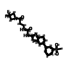 CS(=O)(=O)c1cccc(-c2ccc3nc(NC(=O)NCCC(=O)N4CC(F)(F)C4)sc3c2)c1